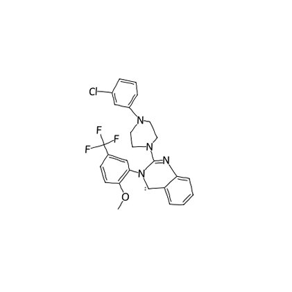 COc1ccc(C(F)(F)F)cc1N1[C]c2ccccc2N=C1N1CCN(c2cccc(Cl)c2)CC1